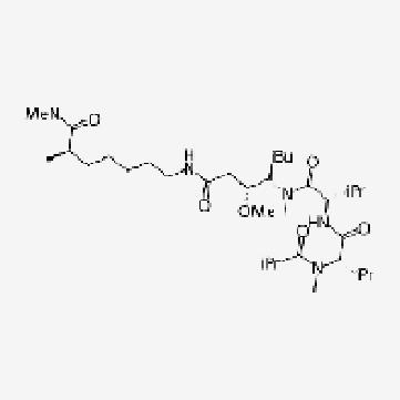 CC[C@H](C)[C@@H]([C@@H](CC(=O)NCCCCC[C@@H](C)C(=O)NC)OC)N(C)C(=O)[C@@H](NC(=O)[C@H](C(C)C)N(C)C(=O)C(C)C)C(C)C